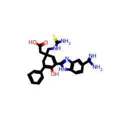 N=C(N)c1ccc2[nH]c(C3=CC(CNC(N)=S)(CC(=O)O)CC(c4ccccc4)=C3O)nc2c1